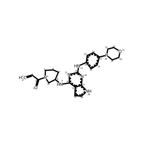 C=CC(=O)N1CCCC(Nc2nc(Nc3ccc(N4CCOCC4)cc3)nc3[nH]ccc23)C1